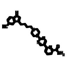 N#Cc1ccc2[nH]cc(CCCCN3CCN(c4ncc(-c5cccc(C(N)=O)n5)cn4)CC3)c2c1